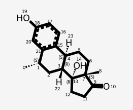 C[C@H]1C[C@@H]2[C@H](CC[C@]3(C)C(=O)CC[C@@]23O)c2ccc(O)cc21